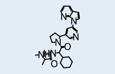 CNC(C)C(=O)NC(C(=O)N1CCCC1c1cncc(-n2ccc3cccnc32)c1)C1CCCCC1